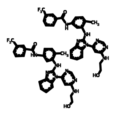 Cc1ccc(NC(=O)c2cccc(C(F)(F)F)c2)cc1Nc1nc2ccccc2n1-c1cc(NCCO)ncn1.Cc1ccc(NC(=O)c2cccc(C(F)(F)F)c2)cc1Nc1nc2ccccc2n1-c1cc(NCCO)ncn1